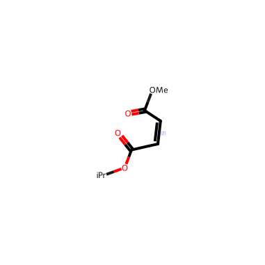 COC(=O)/C=C\C(=O)OC(C)C